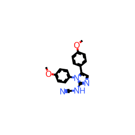 COc1ccc(-c2cnc(NC#N)n2-c2ccc(OC)cc2)cc1